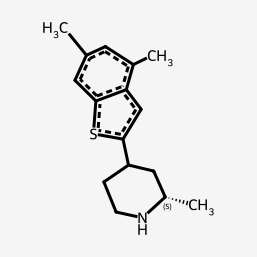 Cc1cc(C)c2cc(C3CCN[C@@H](C)C3)sc2c1